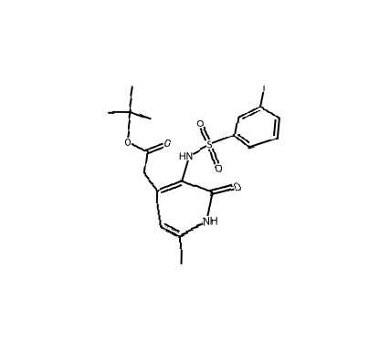 Cc1cc(CC(=O)OC(C)(C)C)c(NS(=O)(=O)c2cccc(I)c2)c(=O)[nH]1